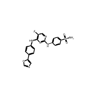 NS(=O)(=O)c1ccc(Nc2ncc(F)c(Nc3ccc(-c4cnco4)cc3)n2)cc1